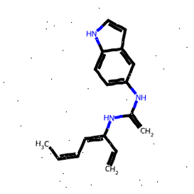 C=C/C(=C\C=C/C)NC(=C)Nc1ccc2[nH]ccc2c1